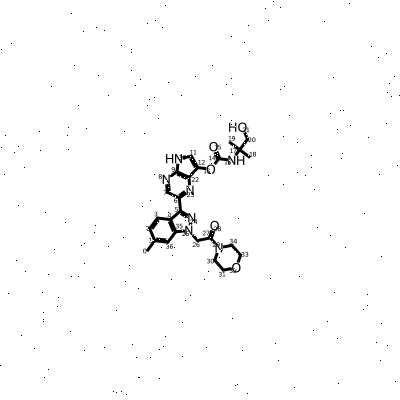 Cc1ccc2c(-c3cnc4[nH]cc(OC(=O)NC(C)(C)CO)c4n3)nn(CC(=O)N3CCOCC3)c2c1